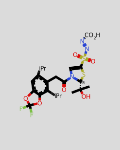 CC(C)c1cc2c(c(C(C)C)c1CC(=O)N1C=C(S(=O)(=O)N=NC(=O)O)S[C@@H]1C(C)(C)O)OC(F)(F)O2